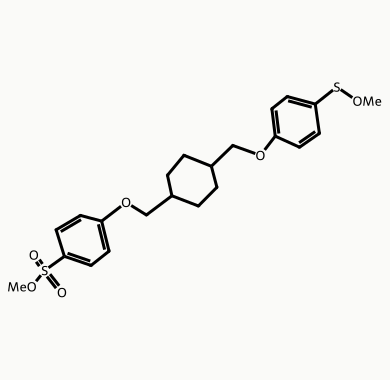 COSc1ccc(OCC2CCC(COc3ccc(S(=O)(=O)OC)cc3)CC2)cc1